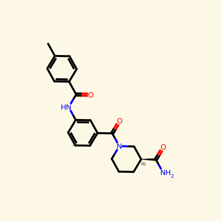 Cc1ccc(C(=O)Nc2c[c]cc(C(=O)N3CCC[C@H](C(N)=O)C3)c2)cc1